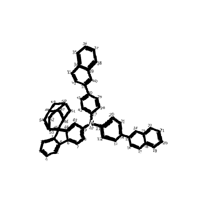 c1ccc2c(c1)-c1ccc(N(c3ccc(-c4ccc5ccccc5c4)cc3)c3ccc(-c4ccc5ccccc5c4)cc3)cc1C21C2CC3CC(C2)CC1C3